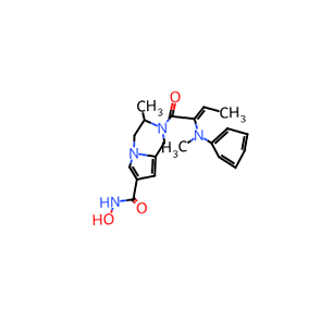 C/C=C(/C(=O)N1Cc2cc(C(=O)NO)cn2CC1C)N(C)c1ccccc1